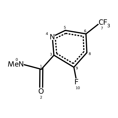 CNC(=O)c1ncc(C(F)(F)F)cc1F